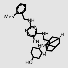 CSc1ccccc1CNc1ncc(C#N)c(NCC23CC4C[C@H](C2)[C@H](NC2CCC(O)CC2)[C@@H](C4)C3)n1